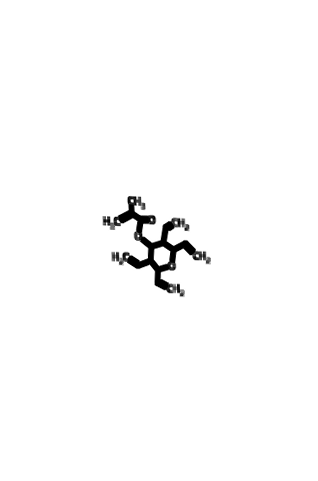 C=CC1OC(C=C)C(C=C)C(OC(=O)C(=C)C)C1C=C